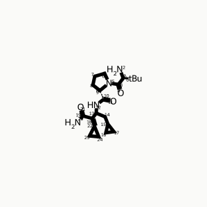 CC(C)(C)[C@H](N)C(=O)N1CCC[C@H]1C(=O)NC(CC1CC1)C(C(N)=O)=C1CC1